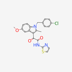 COc1ccc2c(c1)c(C(=O)C(=O)Nc1nccs1)c(C)n2Cc1ccc(Cl)cc1